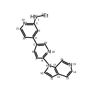 CCNc1cc(-c2ccc(-n3ccc4ccncc43)nc2)ccn1